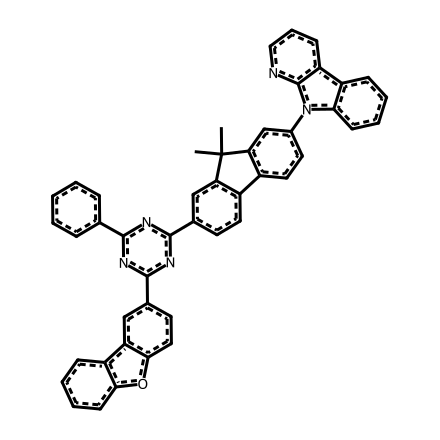 CC1(C)c2cc(-c3nc(-c4ccccc4)nc(-c4ccc5oc6ccccc6c5c4)n3)ccc2-c2ccc(-n3c4ccccc4c4cccnc43)cc21